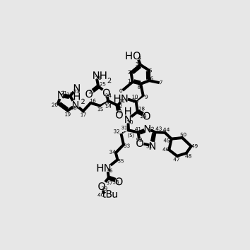 Cc1cc(O)cc(C)c1C[C@H](NC(=O)[C@@H](CCCn1ccnc1N)OC(N)=O)C(=O)N[C@@H](CCCCNC(=O)OC(C)(C)C)c1nc(CC2CCCCC2)no1